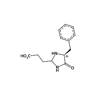 O=C(O)CCC1NC(=O)[C@H](Cc2ccccc2)N1